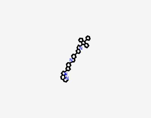 c1ccc(-c2c3ccccc3c(-c3ccc4cc(-c5ccc6nc(-c7ccc8cc(-c9ccc%10ccc%11cccnc%11c%10n9)ccc8c7)ccc6c5)ccc4n3)c3ccccc23)cc1